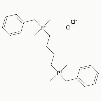 C[P+](C)(CCCC[P+](C)(C)Cc1ccccc1)Cc1ccccc1.[Cl-].[Cl-]